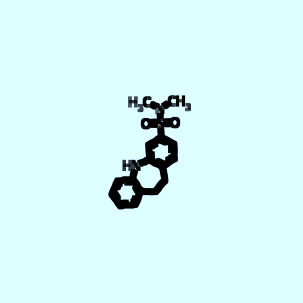 CN(C)S(=O)(=O)c1ccc2c(c1)Nc1ccccc1CC2